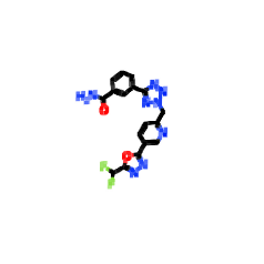 NC(=O)c1cccc(-c2nnn(Cc3ccc(-c4nnc(C(F)F)o4)cn3)n2)c1